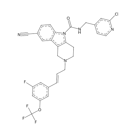 N#Cc1ccc2c(c1)c1c(n2C(=O)NCc2ccnc(Cl)c2)CCN(CC=Cc2cc(F)cc(OC(F)(F)F)c2)C1